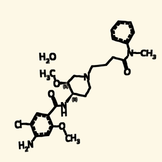 COc1cc(N)c(Cl)cc1C(=O)N[C@@H]1CCN(CCCC(=O)N(C)c2ccccc2)C[C@@H]1OC.O